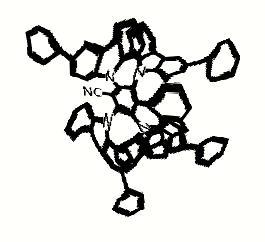 N#Cc1c(-n2c3ccccc3c3cc(-c4ccccc4)ccc32)c(-n2c3ccccc3c3cc(-c4ccccc4)ccc32)c(-c2cccc3c2-c2ccccc2C3)c(-n2c3ccccc3c3cc(-c4ccccc4)ccc32)c1-n1c2ccccc2c2cc(-c3ccccc3)ccc21